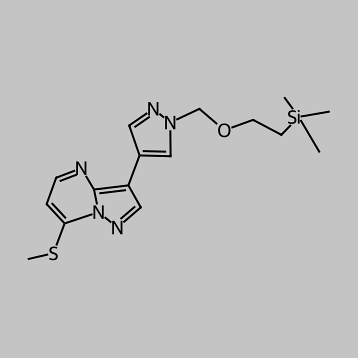 CSc1ccnc2c(-c3cnn(COCC[Si](C)(C)C)c3)cnn12